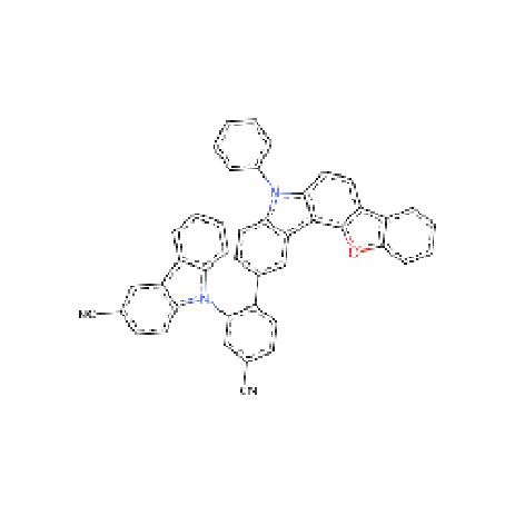 N#Cc1ccc(-c2ccc3c(c2)c2c4oc5ccccc5c4ccc2n3-c2ccccc2)c(-n2c3ccccc3c3cc(C#N)ccc32)c1